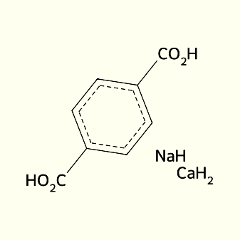 O=C(O)c1ccc(C(=O)O)cc1.[CaH2].[NaH]